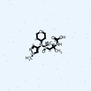 Cn1cc(N(C2CCOCC2)S(=O)(=O)CC(C)(C)NC(=O)O)cn1